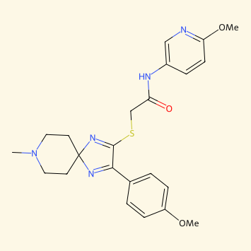 COc1ccc(C2=NC3(CCN(C)CC3)N=C2SCC(=O)Nc2ccc(OC)nc2)cc1